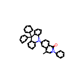 Cc1cn(-c2ccccc2)c(=O)c2ccc(N3c4ccccc4C(c4ccccc4)(c4ccccc4)c4ccccc43)cc12